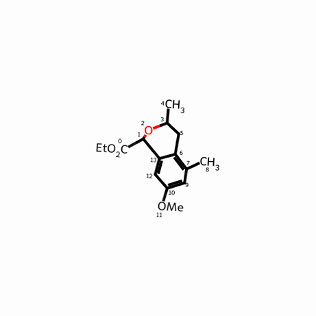 CCOC(=O)C1OC(C)Cc2c(C)cc(OC)cc21